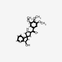 COc1cc(C(=O)C2CC(CCO)(c3cccnc3)CN2)cc(OC)c1OC